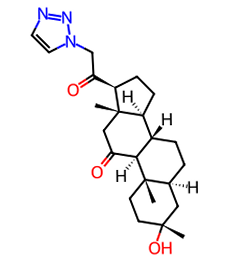 C[C@@]1(O)CC[C@@]2(C)[C@@H](CC[C@H]3[C@@H]4CC[C@H](C(=O)Cn5ccnn5)[C@@]4(C)CC(=O)[C@@H]32)C1